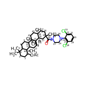 CC(=O)OC1CCC(C)(C)C2CC[C@]3(C)C(CC=C4[C@@H]5CC(C)(C(=O)N6CCN(c7c(Cl)cccc7Cl)CC6)CC[C@]5(C)CC[C@]43C)[C@@]12C